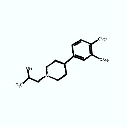 COc1cc(C2CCN(CC(C)O)CC2)ccc1C=O